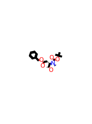 CN(C(=O)OC(C)(C)C)[C@H]([C]=O)CC(=O)OCc1ccccc1